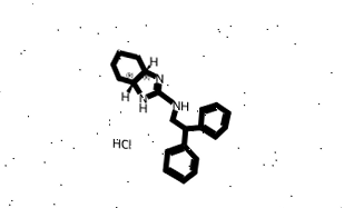 Cl.c1ccc(C(CNC2=N[C@@H]3CCCC[C@H]3N2)c2ccccc2)cc1